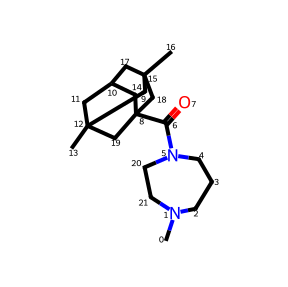 CN1CCCN(C(=O)C23CC4CC(C)(CC(C)(C4)C2)C3)CC1